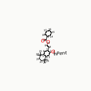 CCCCCOc1cc2c(cc1C=COC(=O)c1ccccc1)C(C)(C)CCC2(C)C